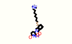 C[N+](C)(C)CCCCCCCCSc1cccc2c1CN(C1CCC(=O)NC1=O)C2=O